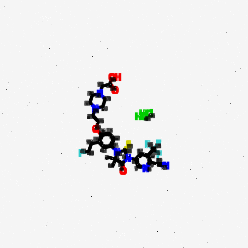 CC1(C)C(=O)N(c2cnc(C#N)c(C(F)(F)F)c2)C(=S)N1c1ccc(OCCN2CCN(CC(=O)O)CC2)c(CCF)c1.Cl.Cl